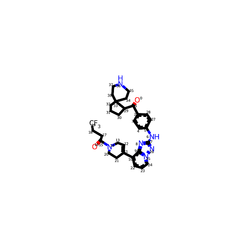 O=C(c1ccc(Nc2nc3c(C4=CCN(C(=O)CCC(F)(F)F)CC4)cccn3n2)cc1)C1CCCC12CCNCC2